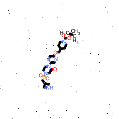 CC(C)(C)OC(=O)N1CCC(COc2cnc(N3CCN(S(=O)(=O)CC4CNC4)CC3=O)cn2)CC1